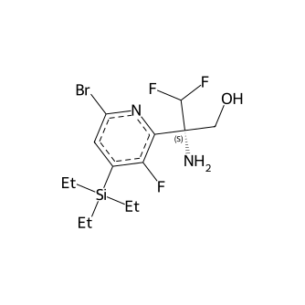 CC[Si](CC)(CC)c1cc(Br)nc([C@](N)(CO)C(F)F)c1F